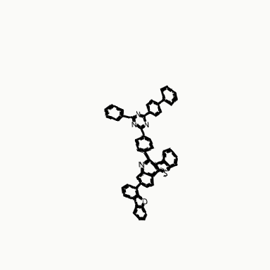 c1ccc(-c2ccc(-c3nc(-c4ccccc4)nc(-c4ccc(-c5nc6cc(-c7cccc8c7oc7ccccc78)ccc6c6sc7ccccc7c56)cc4)n3)cc2)cc1